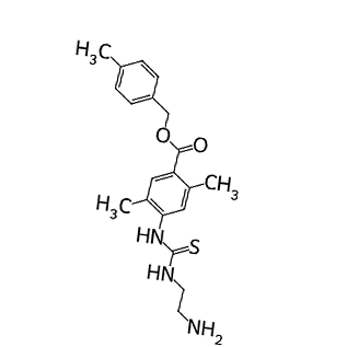 Cc1ccc(COC(=O)c2cc(C)c(NC(=S)NCCN)cc2C)cc1